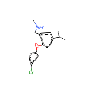 CNCc1cc(C(C)C)ccc1Oc1ccc(Cl)cc1